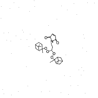 CC1(OOC(CCN2C(=O)C=CC2=O)OOC2(C)CCC3CC2C3(C)C)CCC2CC1C2(C)C